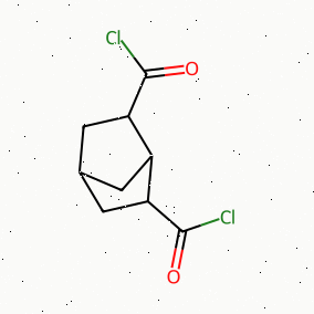 O=C(Cl)C1CC2CC(C(=O)Cl)C1C2